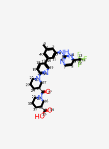 Cc1cc(Nc2nccc(C(F)(F)F)n2)cc(-c2ccc(N3CCC[C@@H](C(=O)N4CCC[C@@H](C(=O)O)C4)C3)nc2)c1